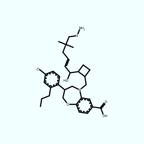 CCCc1cc(Cl)ccc1C1COc2ccc(C(=O)O)cc2N(CC2CCC2C(O)/C=C/CC(C)(C)CSN)C1